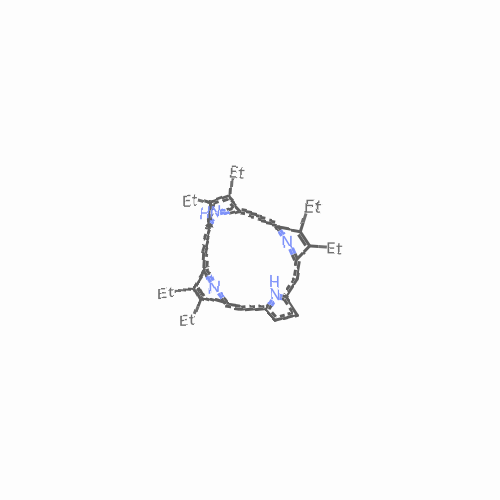 CCC1=C(CC)c2cc3[nH]c(cc4nc(cc5ccc(cc1n2)[nH]5)C(CC)=C4CC)c(CC)c3CC